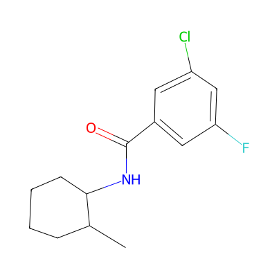 CC1CCCCC1NC(=O)c1cc(F)cc(Cl)c1